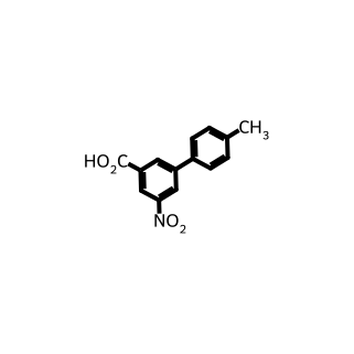 Cc1ccc(-c2cc(C(=O)O)cc([N+](=O)[O-])c2)cc1